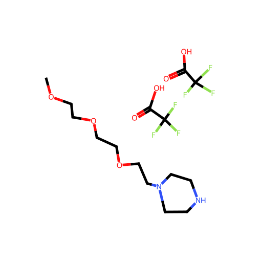 COCCOCCOCCN1CCNCC1.O=C(O)C(F)(F)F.O=C(O)C(F)(F)F